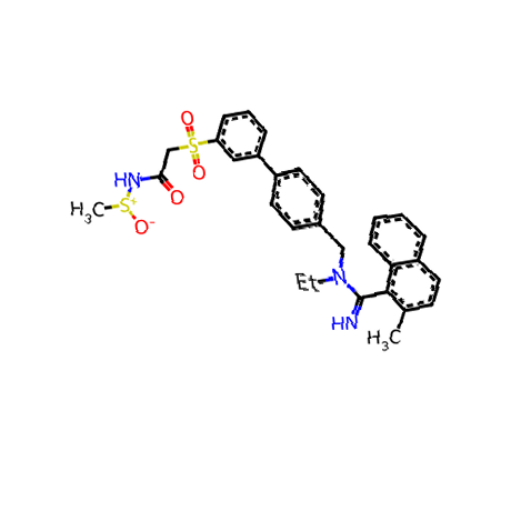 CCN(Cc1ccc(-c2cccc(S(=O)(=O)CC(=O)N[S+](C)[O-])c2)cc1)C(=N)c1c(C)ccc2ccccc12